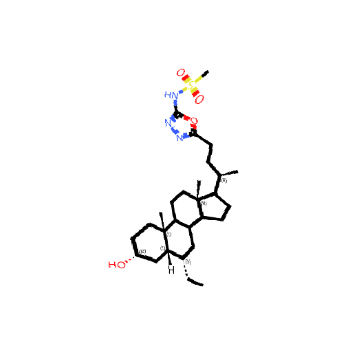 CC[C@H]1CC2C3CCC([C@H](C)CCc4nnc(NS(C)(=O)=O)o4)[C@@]3(C)CCC2[C@@]2(C)CC[C@@H](O)C[C@@H]12